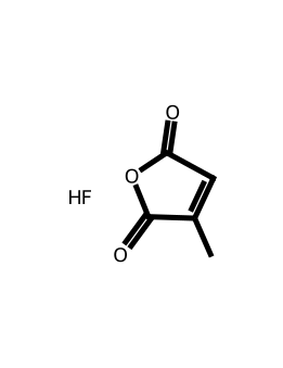 CC1=CC(=O)OC1=O.F